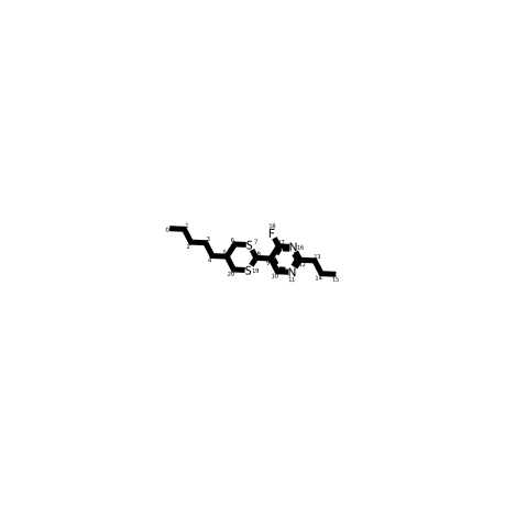 CCCCCC1CSC(c2cnc(CCC)nc2F)SC1